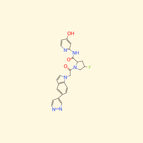 O=C(Nc1cc(O)ccn1)C1CC(F)CN1C(=O)Cn1ccc2cc(-c3ccnnc3)ccc21